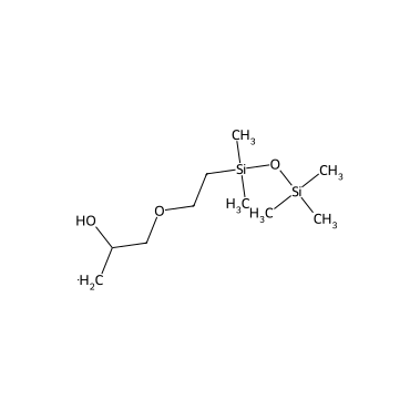 [CH2]C(O)COCC[Si](C)(C)O[Si](C)(C)C